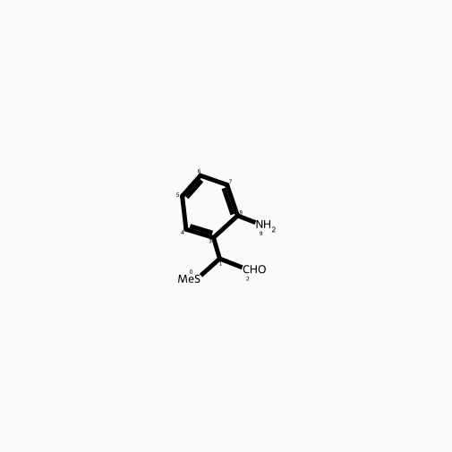 CSC(C=O)c1ccccc1N